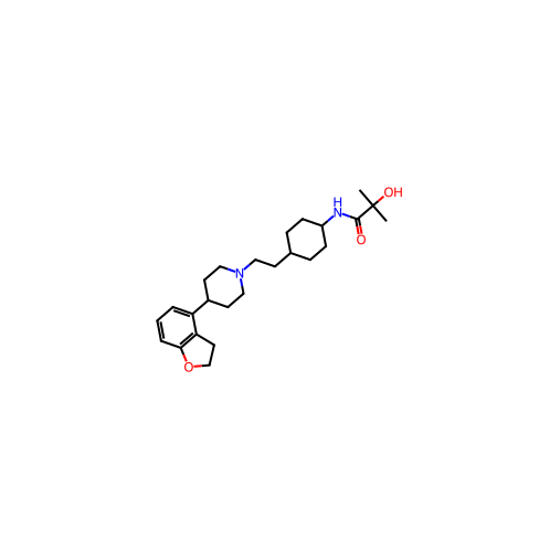 CC(C)(O)C(=O)NC1CCC(CCN2CCC(c3cccc4c3CCO4)CC2)CC1